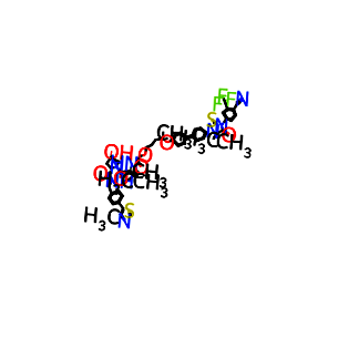 Cc1ncsc1-c1ccc(CNC(=O)[C@@H]2C[C@@H](O)CN2C(=O)[C@@H](NC(=O)COCCC[C@@H](C)Oc2ccc(-c3ccc(N4C(=S)N(c5ccc(C#N)c(C(F)(F)F)c5)C(=O)C4(C)C)cc3)cc2)C(C)(C)C)cc1